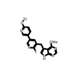 CCOc1ccc(-c2[c]nc(F)c(Cc3c[nH]c4ncnc(OC)c34)c2)cn1